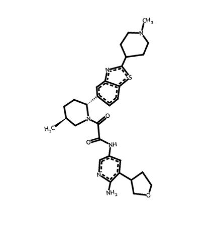 C[C@H]1CC[C@H](c2ccc3sc(C4CCN(C)CC4)nc3c2)N(C(=O)C(=O)Nc2cnc(N)c(C3CCOC3)c2)C1